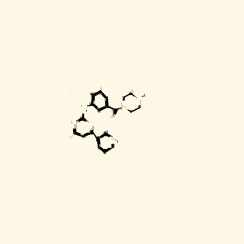 CCOC(=O)N1CCN(C(=O)c2ccc(C)c(Nc3nccc(-c4cccnc4)n3)c2)CC1